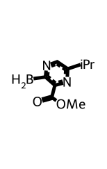 Bc1ncc(C(C)C)nc1C(=O)OC